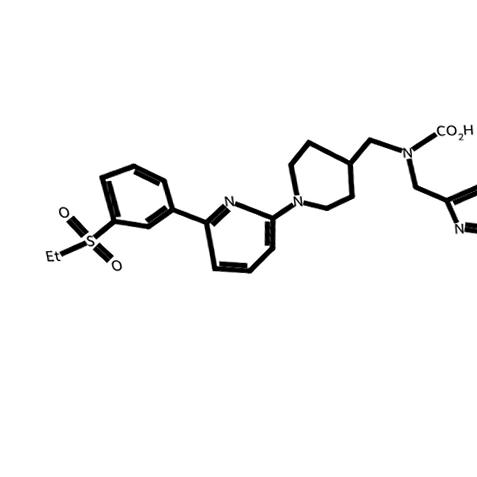 CCS(=O)(=O)c1cccc(-c2cccc(N3CCC(CN(Cc4cscn4)C(=O)O)CC3)n2)c1